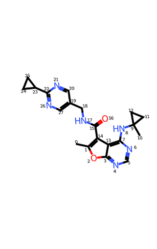 Cc1oc2ncnc(NC3(C)CC3)c2c1C(=O)NCc1cnc(C2CC2)nc1